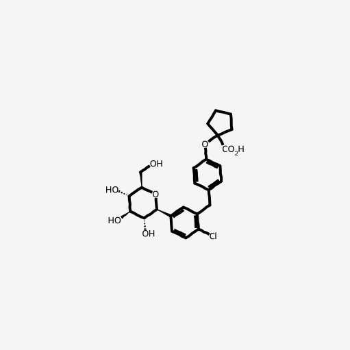 O=C(O)C1(Oc2ccc(Cc3cc([C@@H]4O[C@H](CO)[C@@H](O)[C@H](O)[C@H]4O)ccc3Cl)cc2)CCCC1